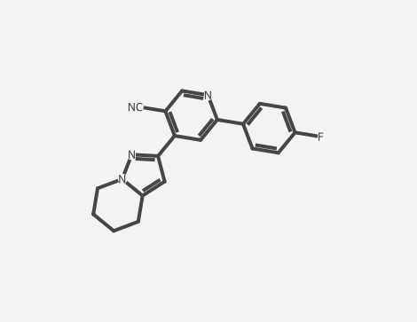 N#Cc1cnc(-c2ccc(F)cc2)cc1-c1cc2n(n1)CCCC2